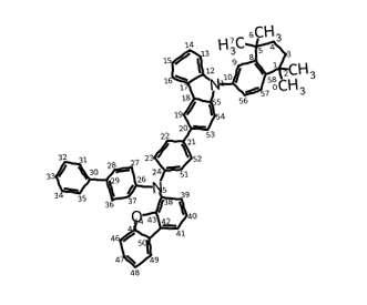 CC1(C)CCC(C)(C)c2cc(-n3c4ccccc4c4cc(-c5ccc(N(c6ccc(-c7ccccc7)cc6)c6cccc7c6oc6ccccc67)cc5)ccc43)ccc21